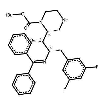 CC(C)(C)OC(=O)N1CCNC[C@@H]1[C@@H](O)[C@H](Cc1cc(F)cc(F)c1)N=C(c1ccccc1)c1ccccc1